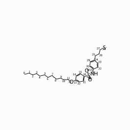 CCCCCCCCCCCCOc1ccc(S(=O)(=O)Nc2ccc(CCC[S])cc2)cc1